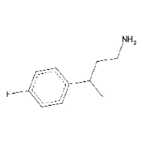 CC(CCN)c1ccc(F)cc1